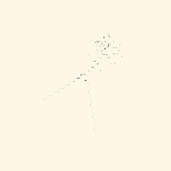 CCCCCCCCCCCCC/C=C/[C@@H](O)[C@H](CO[C@@H]1OC(CO)[C@@H](O[C@@H]2OC(CO)[C@H](O[C@@H]3OC(CO)[C@H](O)[C@H](O)C3O)[C@H](O[C@]3(C(=O)O)CC(O)[C@@H](NC(C)=O)C([C@H](O)[C@H](O)CO)O3)C2O)[C@H](O)C1O)NC(=O)CCCCCCCCCCCCCCCCCCC